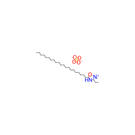 CCCCCCCCCCCCCCCCCCCCCC(=O)NC(CC)[N+](C)(C)C.COS(=O)(=O)[O-]